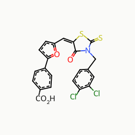 O=C(O)c1ccc(-c2ccc(C=C3SC(=S)N(Cc4ccc(Cl)c(Cl)c4)C3=O)o2)cc1